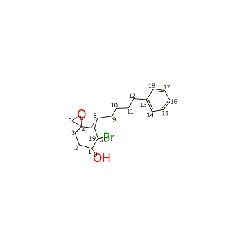 OC1CCC2(CO2)C(CCCCCc2ccccc2)C1Br